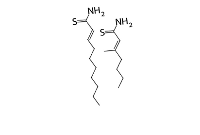 CCCC/C(C)=C/C(N)=S.CCCCCCC/C=C/C(N)=S